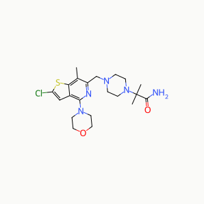 Cc1c(CN2CCN(C(C)(C)C(N)=O)CC2)nc(N2CCOCC2)c2cc(Cl)sc12